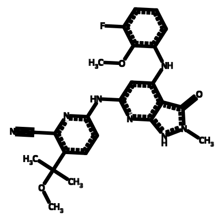 COc1c(F)cccc1Nc1cc(Nc2ccc(C(C)(C)OC)c(C#N)n2)nc2[nH]n(C)c(=O)c12